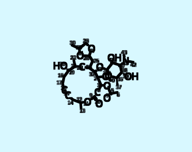 COC1C(OC(C)=O)CC(=O)OC(C)CCCCCC(O)C(C)CC(CC2OCC(C)O2)C1O[C@@H]1O[C@H](C)[C@@H](O)[C@H](N(C)C)[C@H]1O